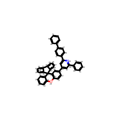 c1ccc(-c2ccc(-c3cc(-c4ccc5c(c4)C4(c6ccccc6O5)c5ccccc5-c5ccccc54)cc(-c4ccccc4)n3)cc2)cc1